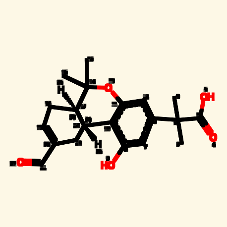 CC(C)(C(=O)O)c1cc(O)c2c(c1)OC(C)(C)[C@@H]1CC=C(C=O)C[C@@H]21